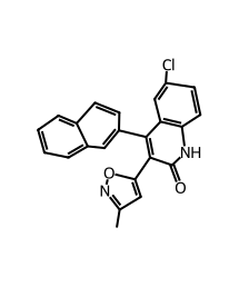 Cc1cc(-c2c(-c3ccc4ccccc4c3)c3cc(Cl)ccc3[nH]c2=O)on1